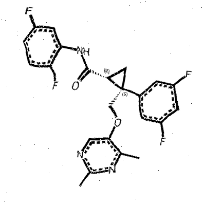 Cc1ncc(OC[C@@]2(c3cc(F)cc(F)c3)C[C@H]2C(=O)Nc2cc(F)ccc2F)c(C)n1